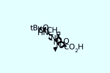 C[C@@H](NC(=O)OC(C)(C)C)[C@H]1CCN(c2nc3c(cc2F)c(=O)c(C(=O)O)cn3C2CC2)C1